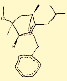 CO[C@@]1(C)C[C@@]2(C)C=C(Cc3ccccc3)[C@@H]1C=C2CC(C)C